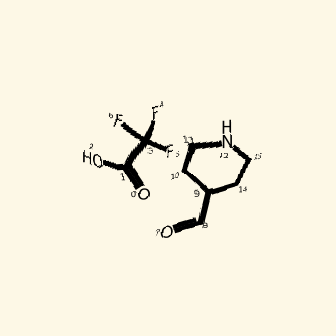 O=C(O)C(F)(F)F.O=CC1CCNCC1